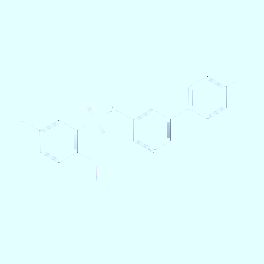 COc1ccc(Cl)cc1S(=O)(=O)Nc1cncc(-c2ccc(Cl)cc2)c1